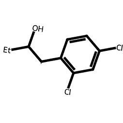 CCC(O)[CH]c1ccc(Cl)cc1Cl